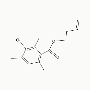 C=CCCOC(=O)c1c(C)cc(C)c(Cl)c1C